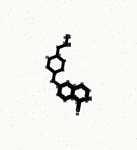 CCNCC1CCC(Oc2ccc3c(=O)[nH]ccc3c2)CC1